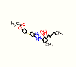 CCCCc1cc(C)cc(-n2nc3ccc(Sc4ccc(OC(C)=O)cc4)cc3n2)c1O